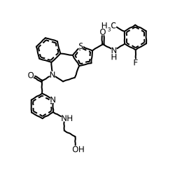 Cc1cccc(F)c1NC(=O)c1cc2c(s1)-c1ccccc1N(C(=O)c1cccc(NCCO)n1)CC2